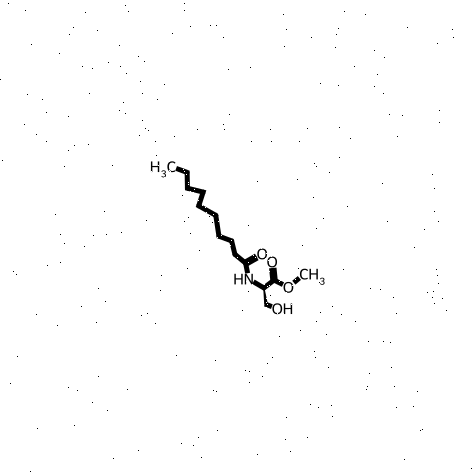 CCCCCCCCCC(=O)N[C@H](CO)C(=O)OC